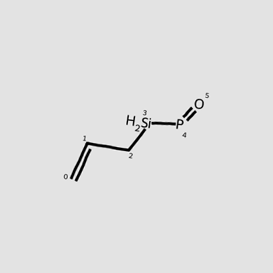 C=CC[SiH2]P=O